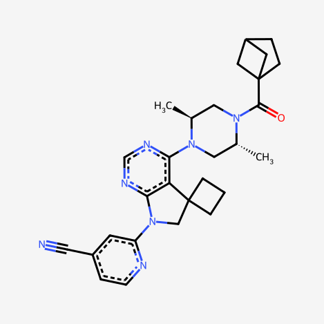 C[C@@H]1CN(c2ncnc3c2C2(CCC2)CN3c2cc(C#N)ccn2)[C@@H](C)CN1C(=O)C12CCC(C1)C2